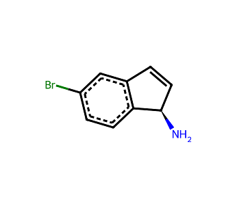 N[C@@H]1C=Cc2cc(Br)ccc21